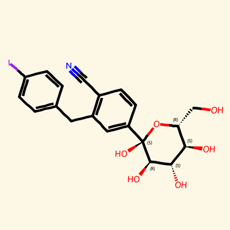 N#Cc1ccc([C@]2(O)O[C@H](CO)[C@@H](O)[C@H](O)[C@H]2O)cc1Cc1ccc(I)cc1